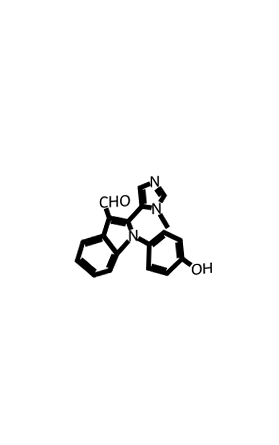 Cn1cncc1-c1c(C=O)c2ccccc2n1-c1ccc(O)cc1